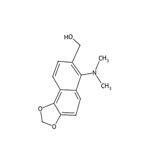 CN(C)c1c(CO)ccc2c3c(ccc12)OCO3